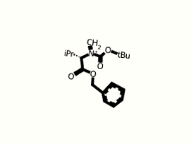 C=[N+](C(=O)OC(C)(C)C)[C@H](C(=O)OCc1ccccc1)C(C)C